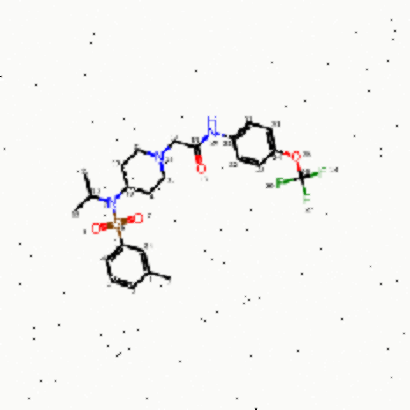 Cc1cccc(S(=O)(=O)N(C(C)C)C2CCN(CC(=O)Nc3ccc(OC(F)(F)F)cc3)CC2)c1